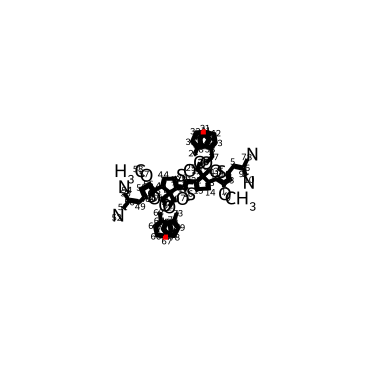 COc1cc(C=C(C#N)C#N)sc1C1=Cc2sc3c4c(sc3c2C1(C(=O)OCc1ccccc1)C(=O)OCc1ccccc1)C=C(c1sc(C=C(C#N)C#N)cc1OC)C4(C(=O)OCc1ccccc1)C(=O)OCc1ccccc1